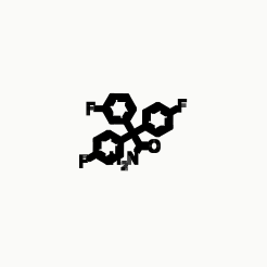 NC(=O)C(c1ccc(F)cc1)(c1ccc(F)cc1)c1cccc(F)c1